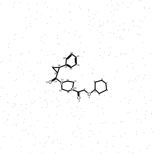 O=C(COC1CCCCC1)N1CCN(C(=O)C2CC2c2ccccc2)CC1